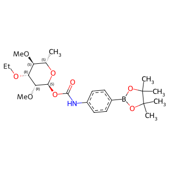 CCO[C@@H]1[C@@H](OC)[C@H](C)O[C@@H](OC(=O)Nc2ccc(B3OC(C)(C)C(C)(C)O3)cc2)[C@@H]1OC